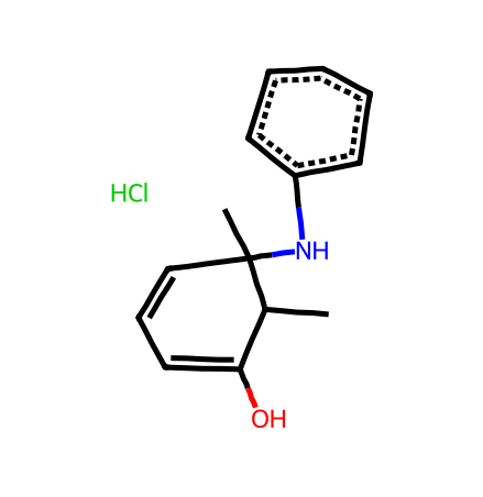 CC1C(O)=CC=CC1(C)Nc1ccccc1.Cl